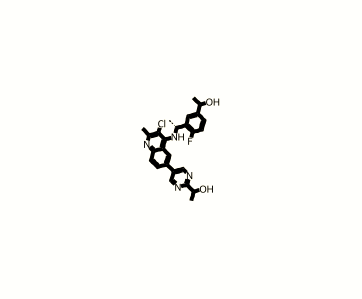 Cc1nc2ccc(-c3cnc(C(C)O)nc3)cc2c(N[C@H](C)c2cc(C(C)O)ccc2F)c1Cl